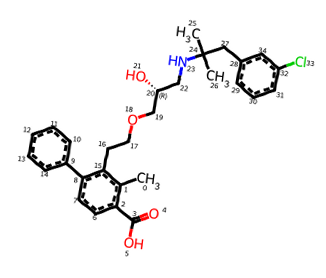 Cc1c(C(=O)O)ccc(-c2ccccc2)c1CCOC[C@H](O)CNC(C)(C)Cc1cccc(Cl)c1